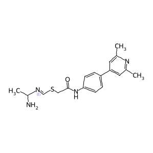 Cc1cc(-c2ccc(NC(=O)CS/C=N/C(C)N)cc2)cc(C)n1